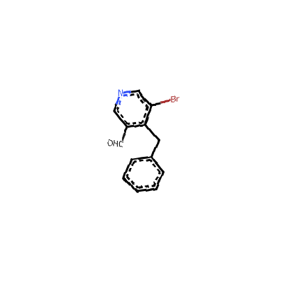 O=Cc1cncc(Br)c1Cc1ccccc1